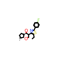 CCc1sc(-c2ccc(F)cc2)nc1C(C=O)C(=O)[C@@H]1CC[C@@H](C)C1